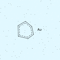 [Au].c1ccccc1